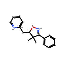 CC1(C)C(c2ccccc2)=NOC1Cc1ccccn1